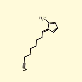 C#CCCCCCCC=C1C=CC=C1C